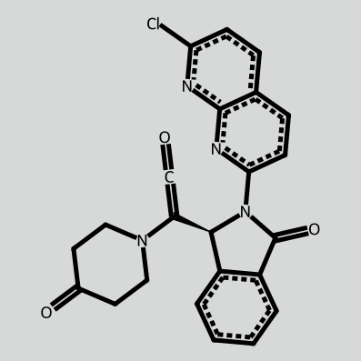 O=C=C([C@@H]1c2ccccc2C(=O)N1c1ccc2ccc(Cl)nc2n1)N1CCC(=O)CC1